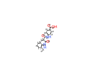 CCc1cccc2cc(C(=O)Nc3ccc(C(=O)O)cc3)c(=O)[nH]c12